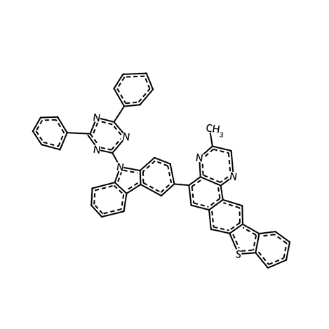 Cc1cnc2c(n1)c(-c1ccc3c(c1)c1ccccc1n3-c1nc(-c3ccccc3)nc(-c3ccccc3)n1)cc1cc3sc4ccccc4c3cc12